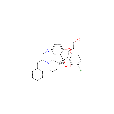 CNCC(CC1CCCCC1)N1CCC[C@@H]([C@@](O)(CCCCOC)c2ccccc2Oc2ccc(F)cc2)C1